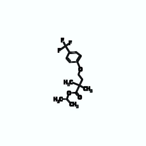 CC(C)OC(=O)C(C)(C)CCOc1ccc(C(F)(F)F)cc1